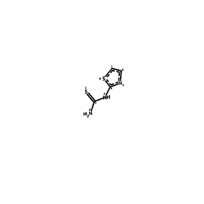 NC(=S)Nc1nccs1